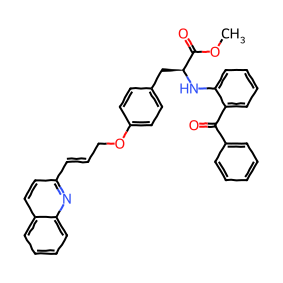 COC(=O)[C@H](Cc1ccc(OCC=Cc2ccc3ccccc3n2)cc1)Nc1ccccc1C(=O)c1ccccc1